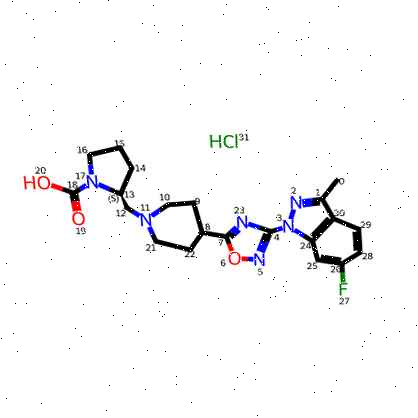 Cc1nn(-c2noc(C3CCN(C[C@@H]4CCCN4C(=O)O)CC3)n2)c2cc(F)ccc12.Cl